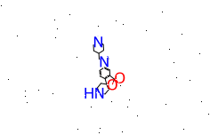 CN1CCC(CN(C)c2ccc3c(c2)C(=O)OC32CCNCC2)CC1